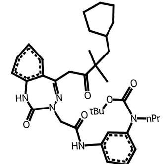 CCCN(C(=O)OC(C)(C)C)c1cccc(NC(=O)CN2N=C(CC(=O)C(C)(C)CC3CCCCC3)c3ccccc3NC2=O)c1